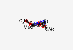 CCN[C@H]1CN(CCCOC)S(=O)(=O)c2sc(S(=O)(=O)NC(=O)/C=C/c3ccc(OC(=O)CCCO[N+](=O)[O-])c(OC)c3)cc21